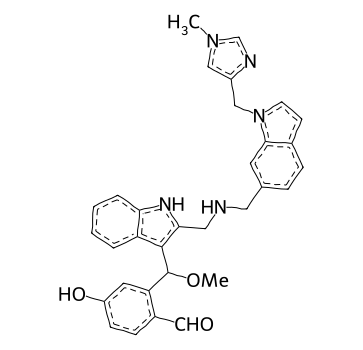 COC(c1cc(O)ccc1C=O)c1c(CNCc2ccc3ccn(Cc4cn(C)cn4)c3c2)[nH]c2ccccc12